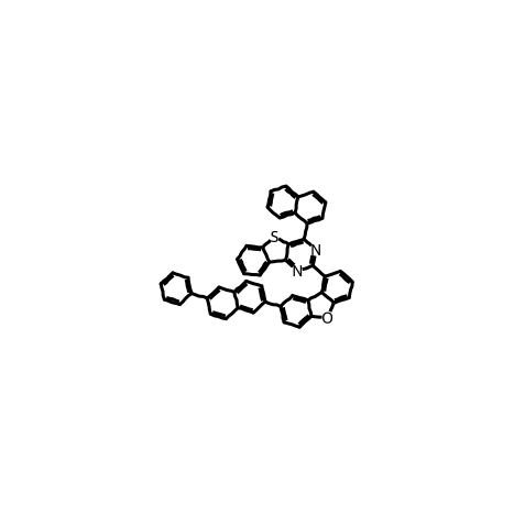 c1ccc(-c2ccc3cc(-c4ccc5oc6cccc(-c7nc(-c8cccc9ccccc89)c8sc9ccccc9c8n7)c6c5c4)ccc3c2)cc1